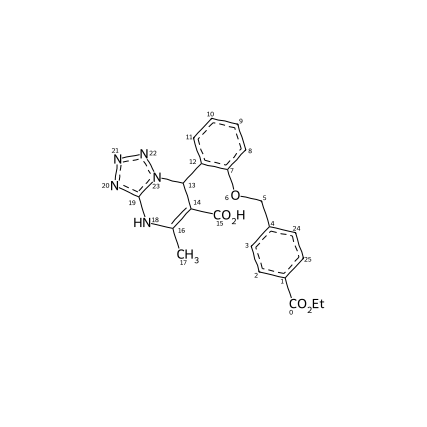 CCOC(=O)c1ccc(COc2ccccc2C2C(C(=O)O)=C(C)Nc3nnnn32)cc1